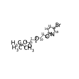 CC(C)(C)OC(=O)CCOCCOc1ccc(Br)cn1